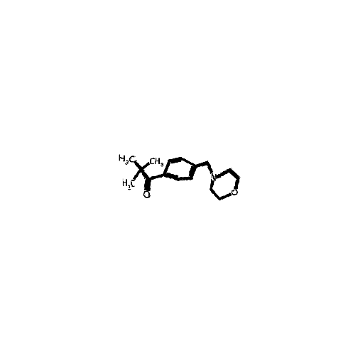 CC(C)(C)C(=O)c1ccc(CN2CCOCC2)cc1